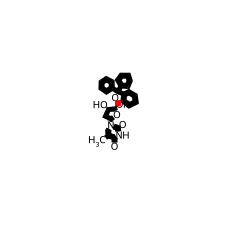 Cc1cn([C@H]2C[C@H](O)[C@@H](C(O)OC(c3ccccc3)(c3ccccc3)c3ccccc3)O2)c(=O)[nH]c1=O